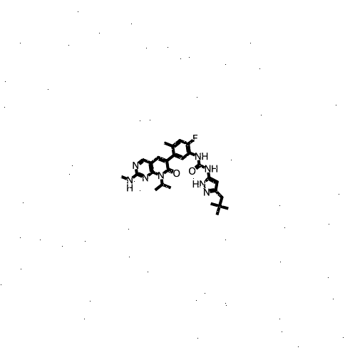 CNc1ncc2cc(-c3cc(NC(=O)Nc4cc(CC(C)(C)C)n[nH]4)c(F)cc3C)c(=O)n(C(C)C)c2n1